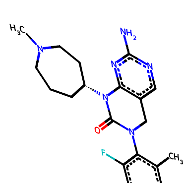 Cc1cccc(F)c1N1Cc2cnc(N)nc2N([C@@H]2CCCN(C)CC2)C1=O